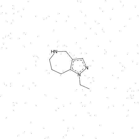 CCn1ncc2c1CCCNC2